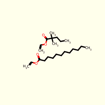 C=COC(=O)C(C)(C)CCC.C=COC(=O)CCCCCCCCCCC